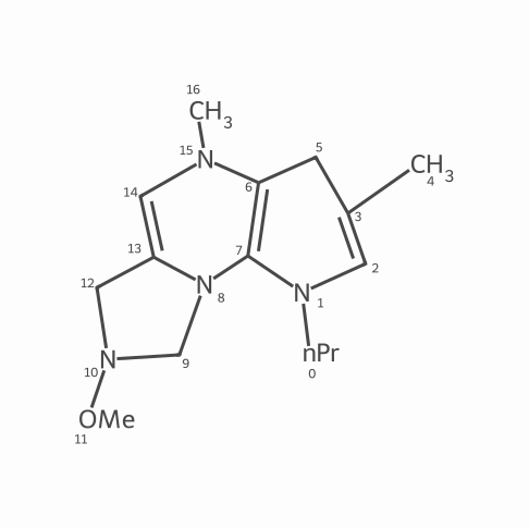 CCCN1C=C(C)CC2=C1N1CN(OC)CC1=CN2C